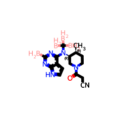 Bc1nc(N([C@H]2CN(C(=O)CC#N)CC[C@H]2C)C(B)(B)B)c2cc[nH]c2n1